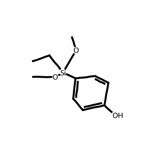 CC[Si](OC)(OC)c1ccc(O)cc1